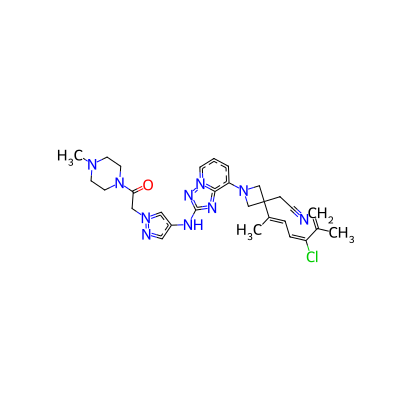 C=C(C)/C(Cl)=C\C=C(/C)C1(CC#N)CN(c2cccn3nc(Nc4cnn(CC(=O)N5CCN(C)CC5)c4)nc23)C1